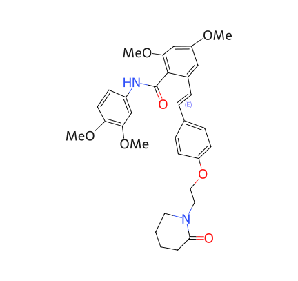 COc1cc(/C=C/c2ccc(OCCN3CCCCC3=O)cc2)c(C(=O)Nc2ccc(OC)c(OC)c2)c(OC)c1